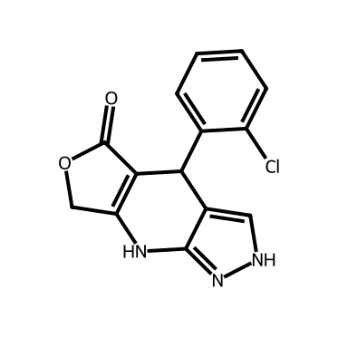 O=C1OCC2=C1C(c1ccccc1Cl)c1c[nH]nc1N2